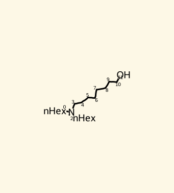 CCCCCCN(CCCCCC)CCCCCCCCO